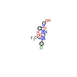 O=C(c1ccccc1-n1cnc(Cn2nc(-c3ccc(Cl)cc3)n(CC(O)C(F)(F)F)c2=O)n1)N1CCC(O)C1